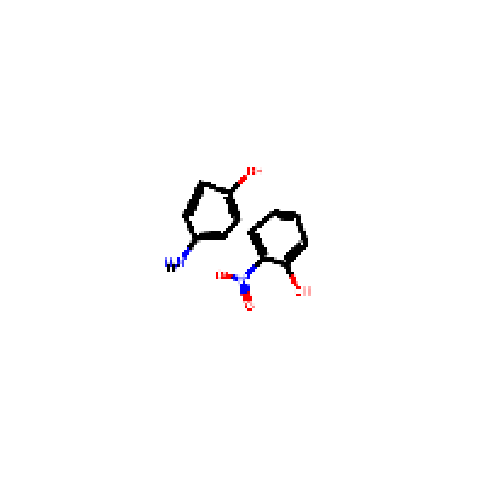 Nc1ccc(O)cc1.O=[N+]([O-])c1ccccc1O.[H+]